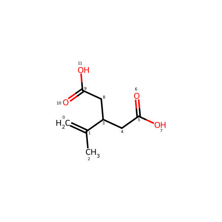 C=C(C)C(CC(=O)O)CC(=O)O